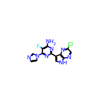 Nc1nc(-c2c[nH]c3ncc(Cl)nc23)nc(-n2ccnc2)c1F